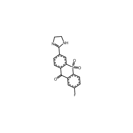 O=C1c2cc(F)ccc2S(=O)(=O)c2cc(C3=NCCN3)ccc21